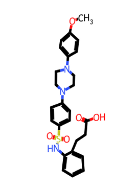 COc1ccc(N2CCN(c3ccc(S(=O)(=O)Nc4ccccc4CCC(=O)O)cc3)CC2)cc1